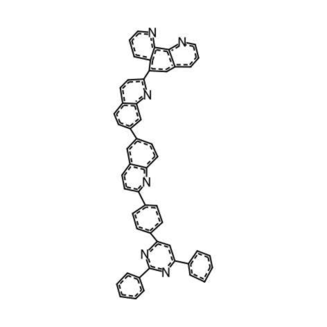 c1ccc(-c2cc(-c3ccc(-c4ccc5cc(-c6ccc7ccc(-c8cc9cccnc9c9ncccc89)nc7c6)ccc5n4)cc3)nc(-c3ccccc3)n2)cc1